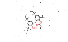 C=CC(=O)Oc1c(Cc2cc(C(C)(C)CC)cc(C(C)(C)C)c2O)cc(C(C)(C)CC)cc1C(C)(C)C